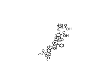 CCOC(=O)Oc1cc2occ(C(=O)NC(C(=O)N[C@]3(OC)C(=O)N4C(C(=O)O)=C(CSc5nnnn5CC(=O)O)CS[C@H]43)c3ccccc3)c(=O)c2cc1OC(=O)OCC